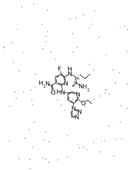 CCC[C@@H](Nc1nc(Nc2cnc(OCC)c(-n3ccnn3)c2)c(C(N)=O)cc1F)[C@H](C)N